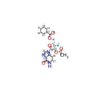 CC(=O)O[C@@H]1C(F)[C@@H](COC(=O)c2ccccc2)OC1n1cnc2c(=O)[nH]ccc21